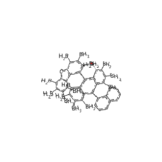 Bc1c(B)c(B)c2c(oc3c(B)c(B)c(B)c(-c4c5c(B)c(B)c(B)c(B)c5c(-c5cccc6ccccc56)c5c(B)c(B)c(B)c(B)c45)c32)c1B